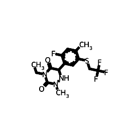 CCN1C(=O)C(c2cc(SCC(F)(F)F)c(C)cc2F)NN(C)C1=O